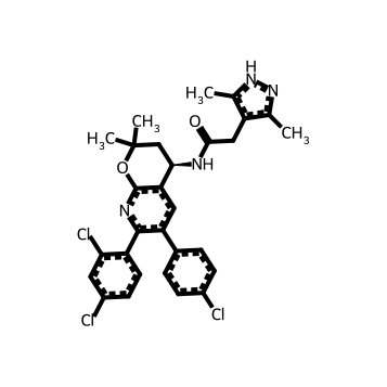 Cc1n[nH]c(C)c1CC(=O)N[C@@H]1CC(C)(C)Oc2nc(-c3ccc(Cl)cc3Cl)c(-c3ccc(Cl)cc3)cc21